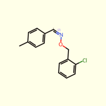 Cc1ccc(/[C]=N\OCc2ccccc2Cl)cc1